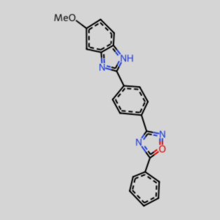 COc1ccc2[nH]c(-c3ccc(-c4noc(-c5ccccc5)n4)cc3)nc2c1